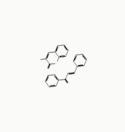 O=C(C=Cc1ccccc1)c1ccccc1.O=c1[nH]c2ccccc2cc1F